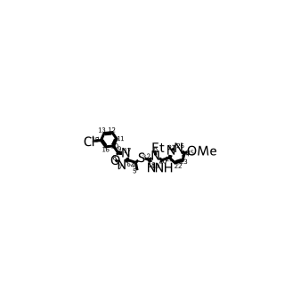 CCN1C(SC(C)c2noc(-c3cccc(Cl)c3)n2)=NNC1c1ccc(OC)nn1